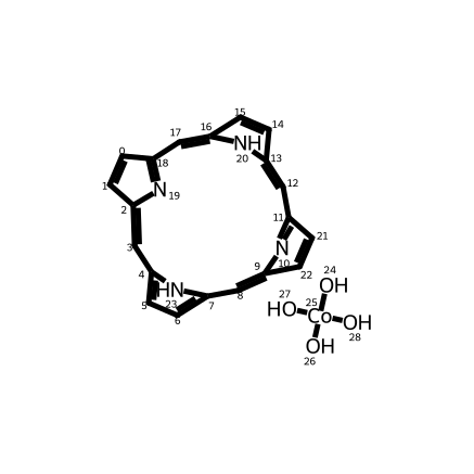 C1=Cc2cc3ccc(cc4nc(cc5ccc(cc1n2)[nH]5)C=C4)[nH]3.[OH][Co]([OH])([OH])[OH]